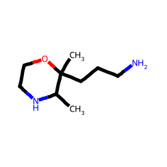 CC1NCCOC1(C)CCCN